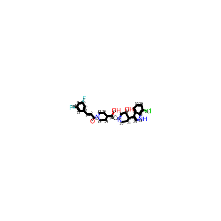 O=C(C=Cc1cc(F)cc(F)c1)N1CCC(C(O)CN2CCC(c3c[nH]c4c(Cl)cccc34)C(O)C2)CC1